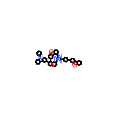 c1ccc(-c2nc(-c3ccc(-c4ccc5c(c4)oc4ccccc45)cc3)nc(-c3cccc4oc5ccc(-c6ccccc6-c6ccc7c(c6)c6ccccc6n7-c6ccccc6)cc5c34)n2)cc1